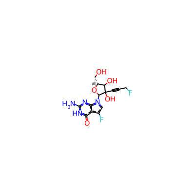 Nc1nc2c(c(F)cn2C2O[C@H](CO)C(O)C2(O)C#CCF)c(=O)[nH]1